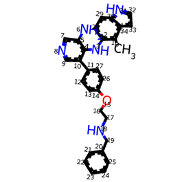 Cc1c(Nc2c(N)cncc2-c2ccc(OCCNCc3ccccc3)cc2)ccc2[nH]ccc12